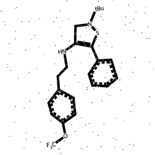 CC(C)(C)N1CC(NCCc2ccc(OC(F)(F)F)cc2)=C(c2ccccc2)S1